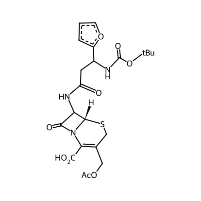 CC(=O)OCC1=C(C(=O)O)N2C(=O)C(NC(=O)CC(NC(=O)OC(C)(C)C)c3ccco3)[C@@H]2SC1